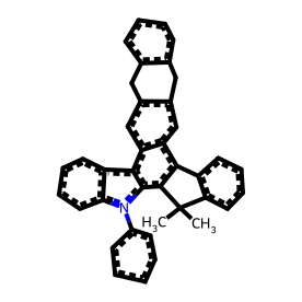 CC1(C)c2ccccc2-c2c1c1c(c3cc4c(cc23)Cc2ccccc2C4)c2ccccc2n1-c1ccccc1